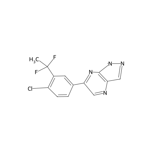 CC(F)(F)c1cc(-c2cnc3c(n2)[N]N=C3)ccc1Cl